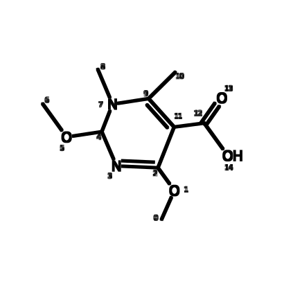 COC1=NC(OC)N(C)C(C)=C1C(=O)O